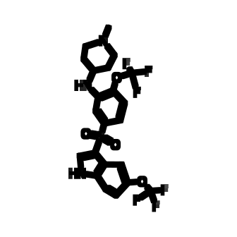 CN1CCC(Nc2cc(S(=O)(=O)c3c[nH]c4ccc(OC(F)(F)F)cc34)ccc2OC(F)(F)F)CC1